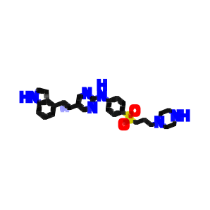 O=S(=O)(CCCN1CCNCC1)c1ccc(Nc2ncc(/C=C/c3cccc4[nH]ccc34)cn2)cc1